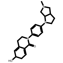 CN1CC2CCN(c3ccc(N4CCC5=CC(O)CC=C5C4=O)cc3)C2C1